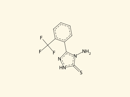 Nn1c(-c2ccccc2C(F)(F)F)n[nH]c1=S